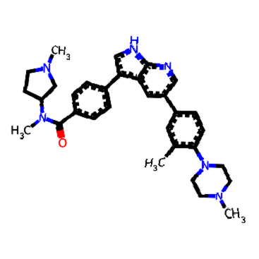 Cc1cc(-c2cnc3[nH]cc(-c4ccc(C(=O)N(C)C5CCN(C)C5)cc4)c3c2)ccc1N1CCN(C)CC1